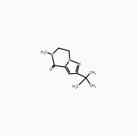 CN1CCn2nc(C(C)(C)C)cc2C1=O